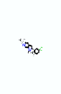 Cc1cc2cc(-c3cccc(Cl)c3)n(C)c2cn1